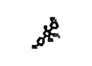 CC1=C(C#N)C(c2ccc(C#N)cc2)CC(=O)N1c1cccc(C(F)(F)F)c1